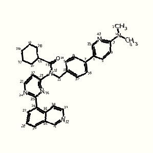 CN(C)c1ccc(-c2ccc(CN(C(=O)C3CCCCC3)c3ccnc(-c4cccc5cnccc45)n3)cc2)cn1